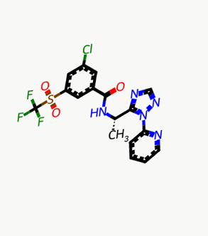 C[C@H](NC(=O)c1cc(Cl)cc(S(=O)(=O)C(F)(F)F)c1)c1ncnn1-c1ccccn1